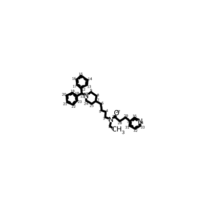 CCN(CCCCC1CCN(C(c2ccccc2)c2ccccc2)CC1)C(=O)CCc1cccnc1